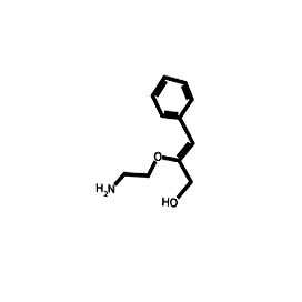 NCCOC(=Cc1ccccc1)CO